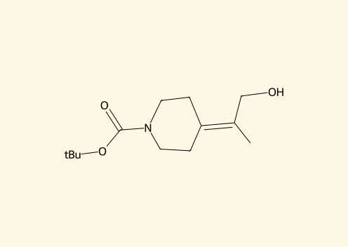 CC(CO)=C1CCN(C(=O)OC(C)(C)C)CC1